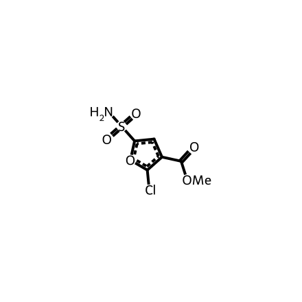 COC(=O)c1cc(S(N)(=O)=O)oc1Cl